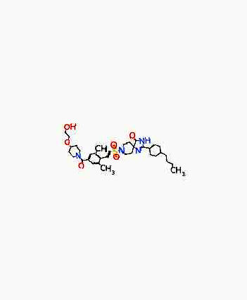 CCCCC1CCC(C2=NC3(CCN(S(=O)(=O)C=Cc4c(C)cc(C(=O)N5CCC(OCCO)CC5)cc4C)CC3)C(=O)N2)CC1